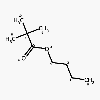 CCCCOC(=O)C(C)(C)C